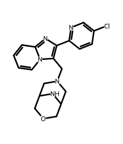 Clc1ccc(-c2nc3ccccn3c2CN2CC3COCC(C2)N3)nc1